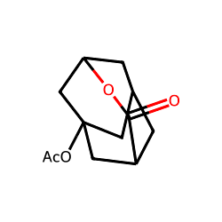 CC(=O)OC12CC3CC(C1)OC(=O)C(C3)C2